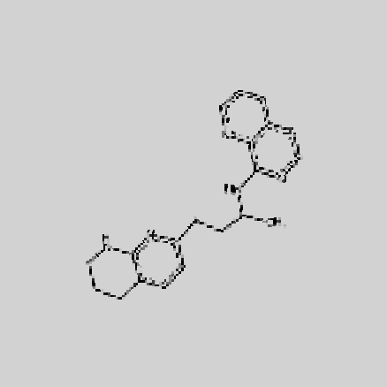 CC(C[CH]c1ccc2c(n1)NCCC2)Nc1ncnc2cccnc12